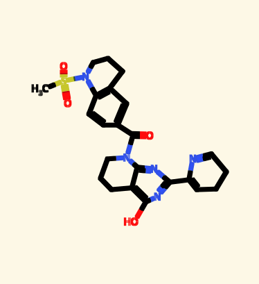 CS(=O)(=O)N1CCCc2cc(C(=O)N3CCCc4c(O)nc(C5=CCCC=N5)nc43)ccc21